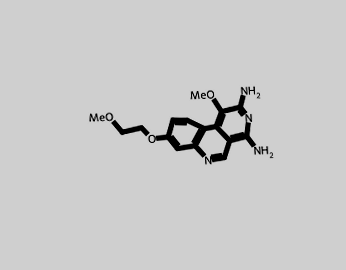 COCCOc1ccc2c(c1)ncc1c(N)nc(N)c(OC)c12